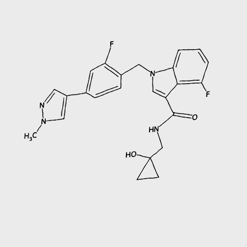 Cn1cc(-c2ccc(Cn3cc(C(=O)NCC4(O)CC4)c4c(F)cccc43)c(F)c2)cn1